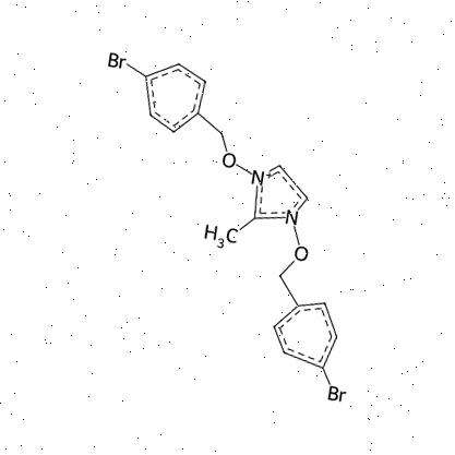 Cc1n(OCc2ccc(Br)cc2)cc[n+]1OCc1ccc(Br)cc1